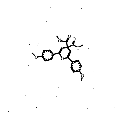 COC(=O)C1(C(=O)OC)C=C(c2ccc(OC)cc2)OC(c2ccc(OC)cc2)=C1